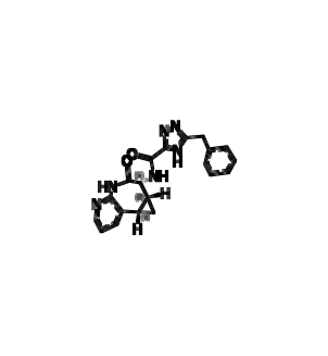 O=C(N[C@H]1C(=O)Nc2ncccc2[C@H]2C[C@H]21)c1nnc(Cc2ccccc2)[nH]1